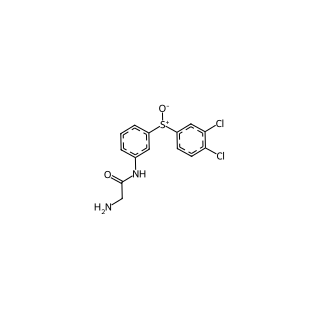 NCC(=O)Nc1cccc([S+]([O-])c2ccc(Cl)c(Cl)c2)c1